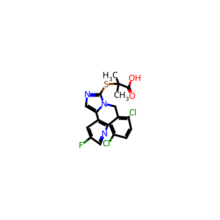 CC(C)(Sc1ncc(-c2cncc(F)c2)n1Cc1cc(Cl)ccc1Cl)C(=O)O